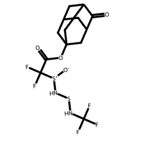 O=C1C2CC3CC1CC(OC(=O)C(F)(F)[S+]([O-])NSNC(F)(F)F)(C3)C2